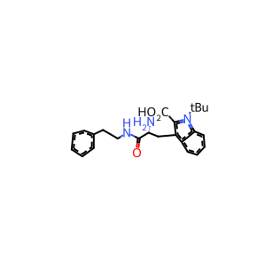 CC(C)(C)n1c(C(=O)O)c(C[C@@H](N)C(=O)NCCc2ccccc2)c2ccccc21